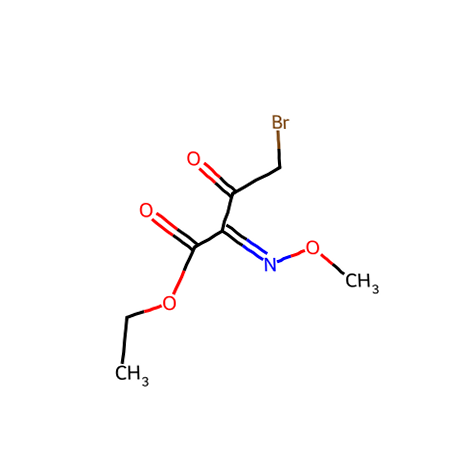 CCOC(=O)C(=NOC)C(=O)CBr